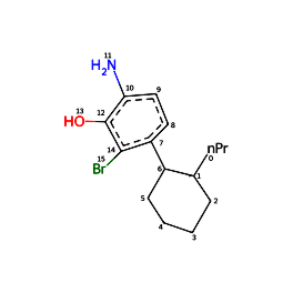 CCC[C]1CCCCC1c1ccc(N)c(O)c1Br